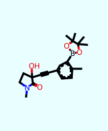 Cc1ccc(C#CC2(O)CCN(C)C2=O)cc1B1OC(C)(C)C(C)(C)O1